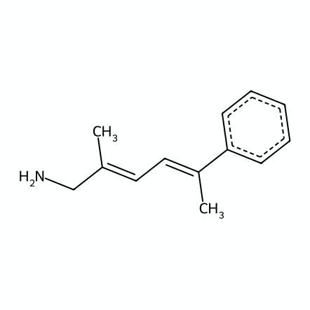 C/C(=C\C=C(/C)c1ccccc1)CN